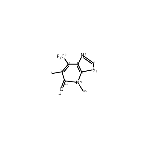 Cc1c(C(F)(F)F)c2ncsc2n(C)c1=O